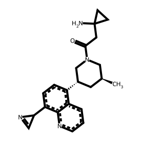 C[C@H]1C[C@H](c2ccc(C3C=N3)c3ncccc23)CN(C(=O)CC2(N)CC2)C1